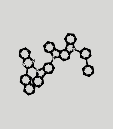 c1ccc(-c2cccc(-n3c4ccccc4c4c5c6ccccc6n(-c6ccc7c8ccccc8n(-c8nc9ccccc9nc8-c8ccc9ccccc9c8)c7c6)c5ccc43)c2)cc1